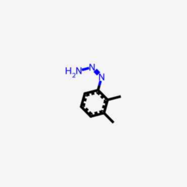 Cc1cccc(/N=N\N)c1C